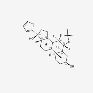 CC1(C)O[C@H]2[C@H](O1)C1[C@H](CC[C@@]3(C)[C@H]1CC[C@@]3(O)c1cccs1)[C@@]1(C)CC[C@H](O)C[C@H]21